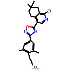 CCc1ncc(-c2nc(-c3cc(C)c(CCC(=O)O)c(C)c3)no2)c2c1CC(C)(C)CC2